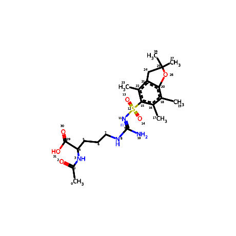 CC(=O)NC(CCCN/C(N)=N/S(=O)(=O)c1c(C)c(C)c2c(c1C)CC(C)(C)O2)C(=O)O